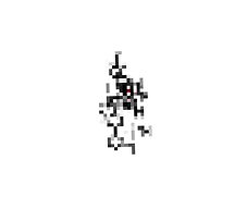 Cc1nc2c(F)c(-c3cccc(Cl)c3Cl)c(CCC#N)cc2c2c1cc([C@H]1[C@H]3C[C@H](C[C@@H]3OC(F)(F)F)N1C(=O)C1(F)CC1)n2[C@H]1[C@H]2CN[C@@H]1C2